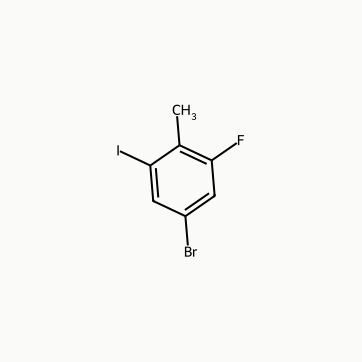 Cc1c(F)cc(Br)cc1I